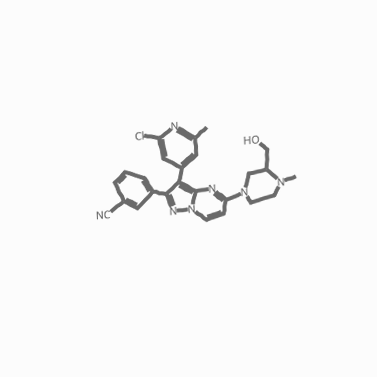 Cc1cc(-c2c(-c3cccc(C#N)c3)nn3ccc(N4CCN(C)C(CO)C4)nc23)cc(Cl)n1